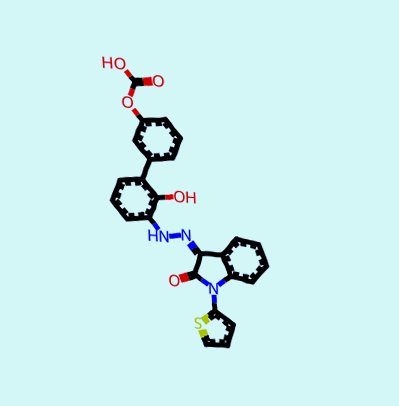 O=C(O)Oc1cccc(-c2cccc(NN=C3C(=O)N(c4cccs4)c4ccccc43)c2O)c1